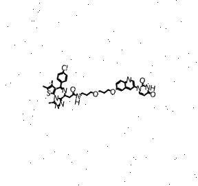 Cc1sc2c(c1C)C(c1ccc(Cl)cc1)=NC(CC(=O)NCCCOCCCOc1ccc3ncc(-n4ccc(=O)[nH]c4=O)cc3c1)c1nnc(C)n1-2